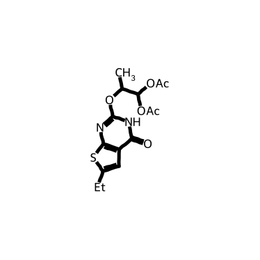 CCc1cc2c(=O)[nH]c(OC(C)C(OC(C)=O)OC(C)=O)nc2s1